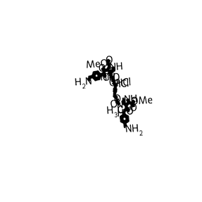 COC(=O)C1NCC(NC(=O)OCC#CCOC(=O)NC2CNC(C(=O)OC)C2C(=O)C(C)c2ccc(CN)cc2)C1C(=O)C(C)c1ccc(CN)cc1.Cl.Cl